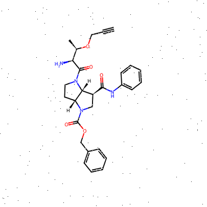 C#CCO[C@H](C)[C@H](N)C(=O)N1CC[C@@H]2[C@H]1[C@@H](C(=O)Nc1ccccc1)CN2C(=O)OCc1ccccc1